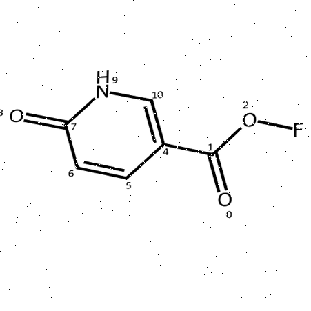 O=C(OF)c1ccc(=O)[nH]c1